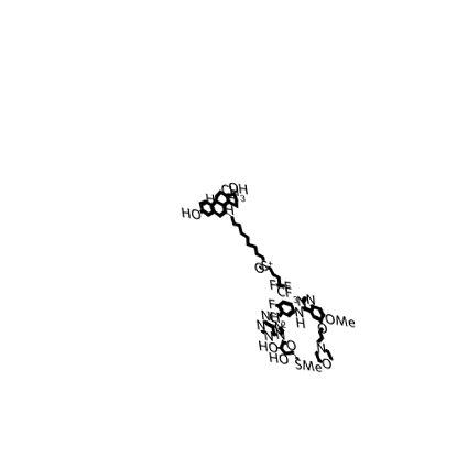 COc1cc2ncnc(Nc3ccc(F)c(Cl)c3)c2cc1OCCCN1CCOCC1.CSC[C@H]1O[C@@H](n2cnc3c(N)ncnc32)[C@H](O)[C@@H]1O.C[C@]12CC[C@@H]3c4ccc(O)cc4C[C@@H](CCCCCCCCC[S+]([O-])CCCC(F)(F)C(F)(F)F)[C@H]3[C@@H]1CC[C@@H]2O